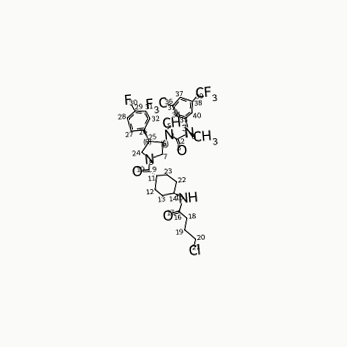 CN(C(=O)N(C)[C@@H]1CN(C(=O)[C@H]2CC[C@H](NC(=O)CCCCl)CC2)C[C@H]1c1ccc(F)cc1)c1cc(C(F)(F)F)cc(C(F)(F)F)c1